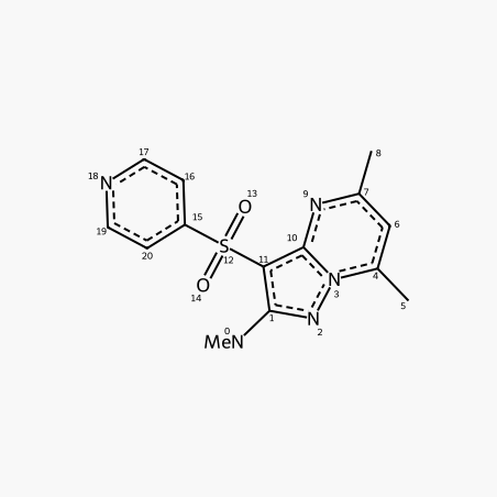 CNc1nn2c(C)cc(C)nc2c1S(=O)(=O)c1ccncc1